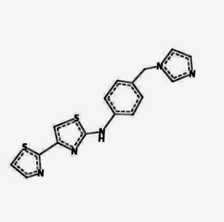 c1cn(Cc2ccc(Nc3nc(-c4nccs4)cs3)cc2)cn1